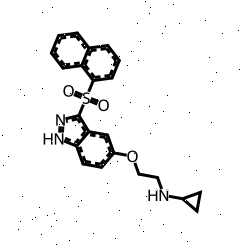 O=S(=O)(c1cccc2ccccc12)c1n[nH]c2ccc(OCCNC3CC3)cc12